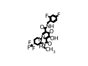 CCN1C(=O)c2c(O)c(=O)c(C(=O)NCc3ccc(F)cc3F)cn2N2CC[C@@H](C(F)(F)F)C[C@@H]12